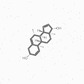 C[C@H]1C=C2C[C@@H](O)C=C[C@]2(C)[C@H]2CC[C@]3(C)[C@@H](O)C=C[C@H]3[C@H]12